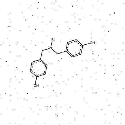 CC(=O)N(Cc1ccc(O)cc1)Cc1ccc(O)cc1